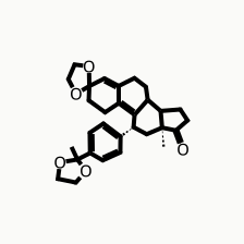 CC1(c2ccc([C@H]3C[C@]4(C)C(=O)CCC4C4CCC5=CC6(CCC5=C43)OCCO6)cc2)OCCO1